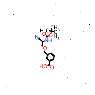 CC(C)(C)OC(=O)NC(C#N)COCc1cccc(C(=O)O)c1